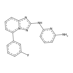 Nc1cccc(Nc2nc3cccc(-c4cccc(F)c4)n3n2)n1